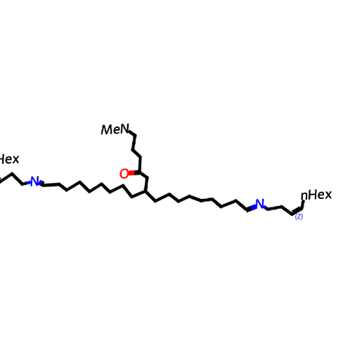 CCCCCC/C=C\CCN=CCCCCCCCCC(CCCCCCCCC=NCC/C=C\CCCCCC)CC(=O)CCCNC